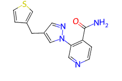 NC(=O)c1ccncc1-n1cc(Cc2ccsc2)cn1